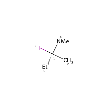 CC[C@](C)(I)NC